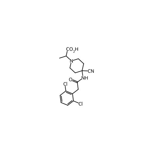 CC(C(=O)O)N1CCC(C#N)(NC(=O)Cc2c(Cl)cccc2Cl)CC1